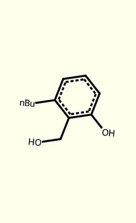 CCCCc1cccc(O)c1CO